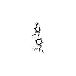 Cc1ccc(OC(O)c2ccc(OC(C)C)cc2)cc1